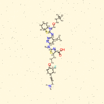 CN(C)CC#Cc1ccc(OCCCc2sc(N(C)c3cc(C4CC4)c(/N=c4\sc5ccccc5n4COCC[Si](C)(C)C)nn3)nc2C(=O)O)c(F)c1